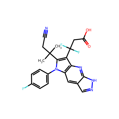 CC(C)(CC#N)c1c(C(F)(F)CC(=O)O)c2nc3[nH]ncc3cc2n1-c1ccc(F)cc1